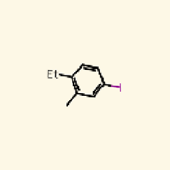 CCc1ccc(I)cc1C